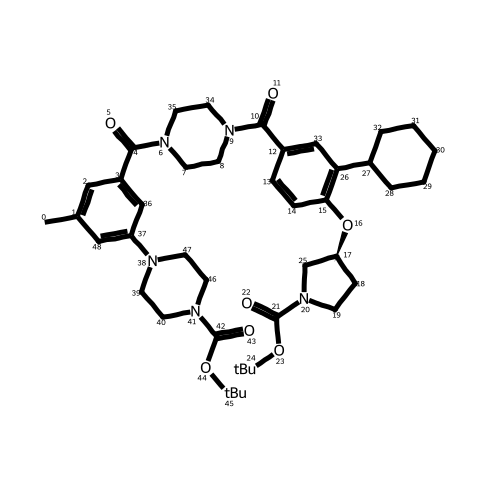 Cc1cc(C(=O)N2CCN(C(=O)c3ccc(O[C@H]4CCN(C(=O)OC(C)(C)C)C4)c(C4CCCCC4)c3)CC2)cc(N2CCN(C(=O)OC(C)(C)C)CC2)c1